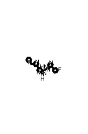 Fc1cccc(-c2cncc3[nH]c(-c4n[nH]c5ncc(-c6cncc(CN7CCCCC7)c6)cc45)nc23)c1